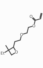 C=CC(=O)OCCOCCC1OCC1(C)CC